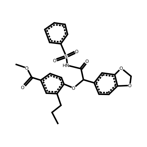 CCCc1cc(C(=O)OC)ccc1OC(C(=O)NS(=O)(=O)c1ccccc1)c1ccc2c(c1)OCO2